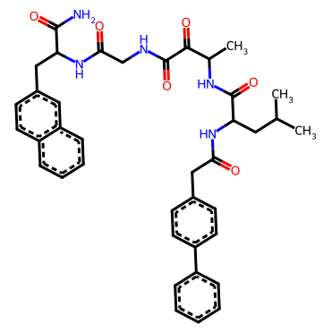 CC(C)CC(NC(=O)Cc1ccc(-c2ccccc2)cc1)C(=O)NC(C)C(=O)C(=O)NCC(=O)NC(Cc1ccc2ccccc2c1)C(N)=O